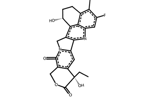 CC[C@@]1(O)C(=O)OCc2c1cc1n(c2=O)Cc2c-1nc1cc(F)c(C)c3c1c2[C@H](O)CC3